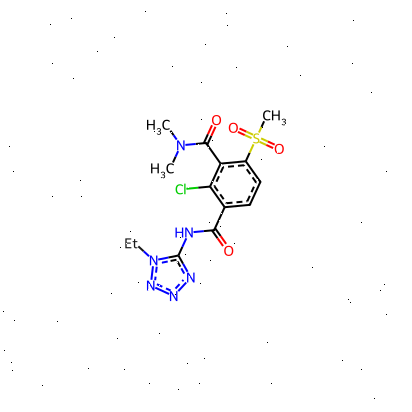 CCn1nnnc1NC(=O)c1ccc(S(C)(=O)=O)c(C(=O)N(C)C)c1Cl